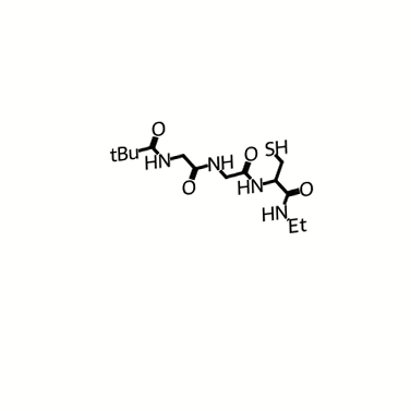 CCNC(=O)C(CS)NC(=O)CNC(=O)CNC(=O)C(C)(C)C